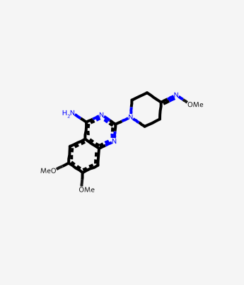 CON=C1CCN(c2nc(N)c3cc(OC)c(OC)cc3n2)CC1